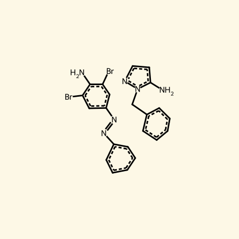 Nc1c(Br)cc(/N=N/c2ccccc2)cc1Br.Nc1ccnn1Cc1ccccc1